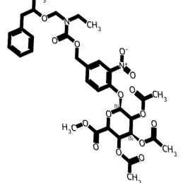 CCN(COC(C)Cc1ccccc1)C(=O)OCc1ccc(O[C@@H]2OC(C(=O)OC)C(OC(C)=O)[C@H](OC(C)=O)C2OC(C)=O)c([N+](=O)[O-])c1